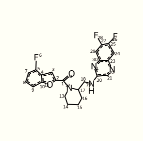 O=C(c1cc2c(F)cccc2o1)N1CCCCC1CNc1cnc2cc(F)c(F)cc2n1